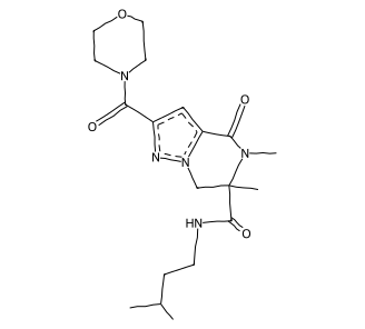 CC(C)CCNC(=O)C1(C)Cn2nc(C(=O)N3CCOCC3)cc2C(=O)N1C